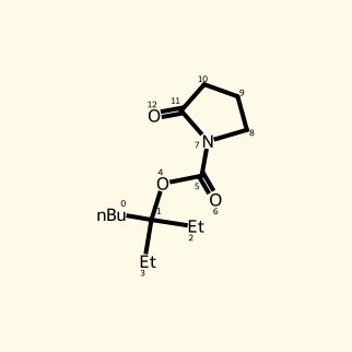 CCCCC(CC)(CC)OC(=O)N1CCCC1=O